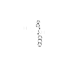 O=C(NCC(=O)N1CC2(C[C@H]1C(=O)O)OCCO2)c1ccc2c(c1)Oc1ccccc1S2